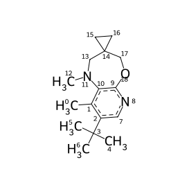 Cc1c(C(C)(C)C)cnc2c1N(C)CC1(CC1)CO2